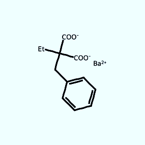 CCC(Cc1ccccc1)(C(=O)[O-])C(=O)[O-].[Ba+2]